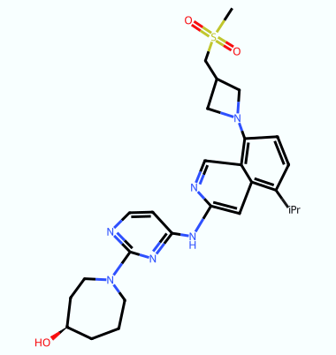 CC(C)c1ccc(N2CC(CS(C)(=O)=O)C2)c2cnc(Nc3ccnc(N4CCC[C@@H](O)CC4)n3)cc12